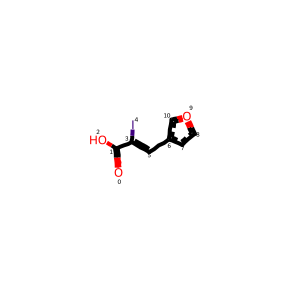 O=C(O)C(I)=Cc1ccoc1